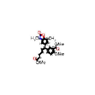 COC(=O)CCCC=C(c1ccc(OC)c(C(=O)OC)c1)c1cc(C)c2oc(=O)n(C)c2c1